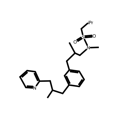 CC(C)CS(=O)(=O)N(C)CC(C)Cc1cccc(CC(C)Cc2ccccn2)c1